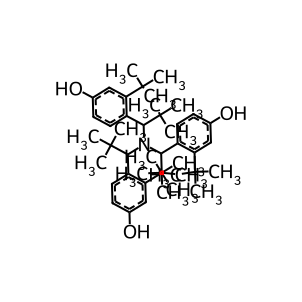 CC(C)(C)c1cc(O)ccc1C(N(C(c1ccc(O)cc1C(C)(C)C)C(C)(C)C)C(c1ccc(O)cc1C(C)(C)C)C(C)(C)C)C(C)(C)C